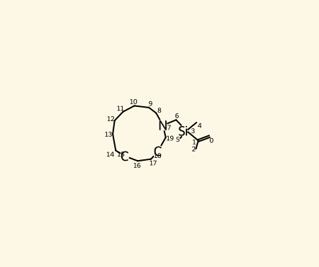 C=C(C)[Si](C)(C)CN1CCCCCCCCCCCC1